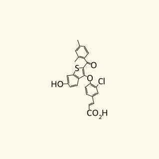 Cc1ccc(C(=O)c2sc3cc(O)ccc3c2Oc2ccc(/C=C/C(=O)O)cc2Cl)c(C)c1